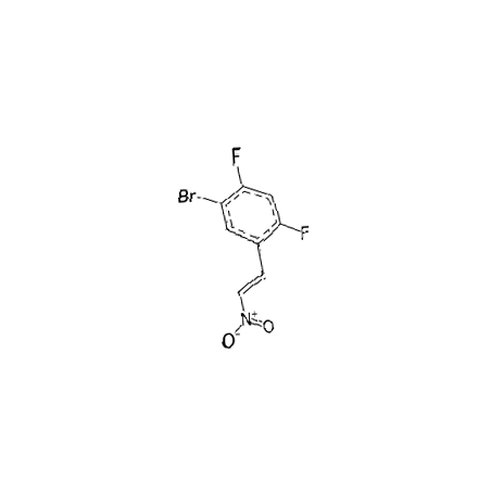 O=[N+]([O-])C=Cc1cc(Br)c(F)cc1F